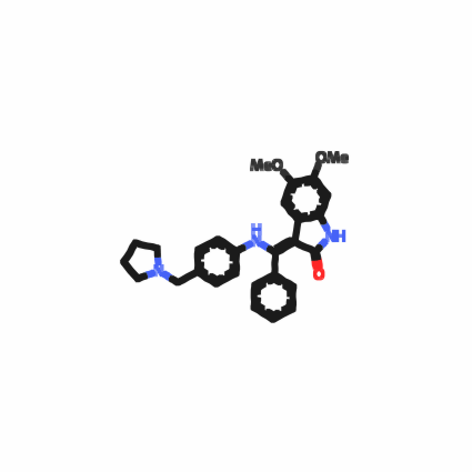 COc1cc2c(cc1OC)C(=C(Nc1ccc(CN3CCCC3)cc1)c1ccccc1)C(=O)N2